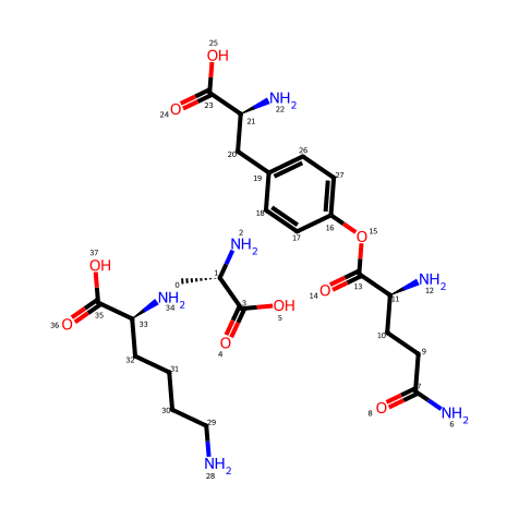 C[C@H](N)C(=O)O.NC(=O)CC[C@H](N)C(=O)Oc1ccc(C[C@H](N)C(=O)O)cc1.NCCCC[C@H](N)C(=O)O